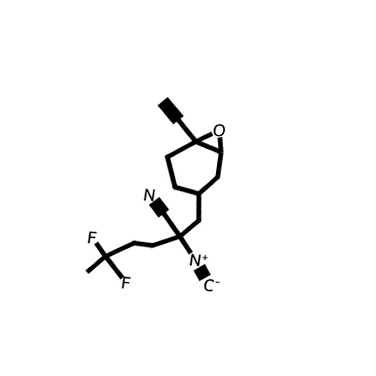 [C-]#[N+]C(C#N)(CCC(C)(F)F)CC1CCC2(C#C)OC2C1